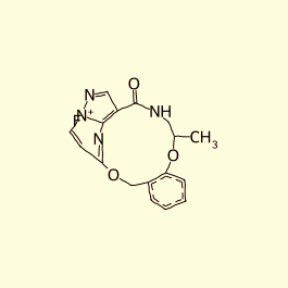 CC1CNC(=O)C2=C3N=C(C=C[N+]3(F)N=C2)OCc2ccccc2O1